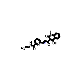 COCCNC(=O)c1cccc(/C=C/C(=O)c2c(O)c3ccccc3[nH]c2=O)n1